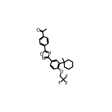 CC(=O)c1ccc(-c2nc(-c3ccc(OCC(F)(F)F)c(C4(C)CCCCC4)c3)no2)cc1